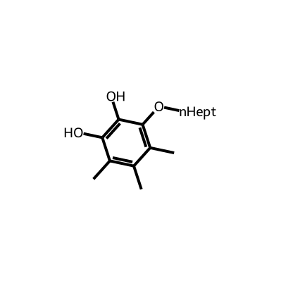 CCCCCCCOc1c(C)c(C)c(C)c(O)c1O